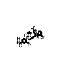 CNC(=O)c1ccc(N(CC#Cc2nc3c(Br)cccn3c2CC(F)(F)F)C(=O)OC(C)(C)C)c(C#N)c1